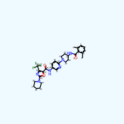 Cc1cccc(C)c1C(=O)NC1CCN(c2ccc(NC(=O)c3oc(N4CCCCC4)nc3C(F)(F)F)cn2)CC1